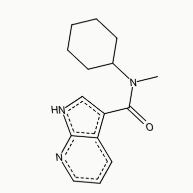 CN(C(=O)c1c[nH]c2ncccc12)C1CCCCC1